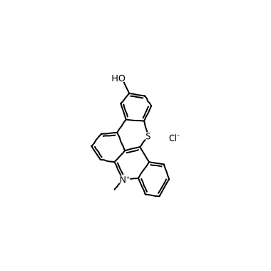 C[n+]1c2ccccc2c2c3c(cccc31)-c1cc(O)ccc1S2.[Cl-]